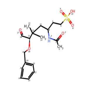 CC(=O)NC(CCS(=O)(=O)O)CC(C)(C)[C@H](C=O)OCc1ccccc1